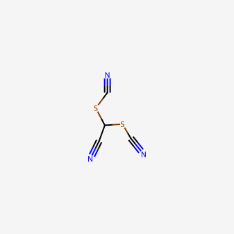 N#CSC(C#N)SC#N